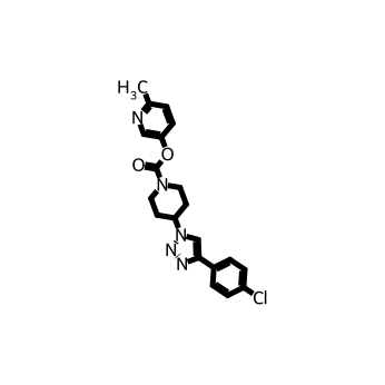 Cc1ccc(OC(=O)N2CCC(n3cc(-c4ccc(Cl)cc4)nn3)CC2)cn1